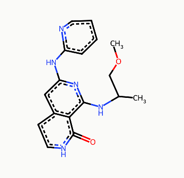 COCC(C)Nc1nc(Nc2ccccn2)cc2cc[nH]c(=O)c12